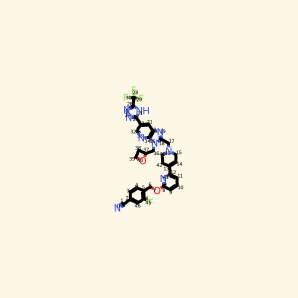 N#Cc1ccc(COc2cccc(C3=CCN(Cc4nc5cc(-c6nnc(C(F)(F)F)[nH]6)cnc5n4CC4CCO4)CC3)n2)c(F)c1